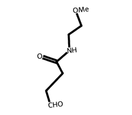 COCCNC(=O)CCC=O